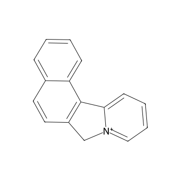 c1cc[n+]2c(c1)-c1c(ccc3ccccc13)C2